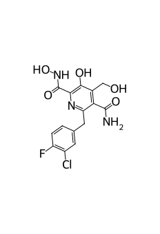 NC(=O)c1c(Cc2ccc(F)c(Cl)c2)nc(C(=O)NO)c(O)c1CO